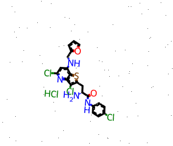 Cl.N[C@H](Cc1sc2c(NCc3ccco3)cc(Cl)nc2c1Cl)C(=O)Nc1ccc(Cl)cc1